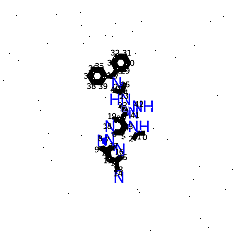 CC(C)Nc1cc(-n2ncc3cc(C#N)cnc32)ncc1/C(=C/NC1CN(C(c2ccccc2)c2ccccc2)C1)N=N